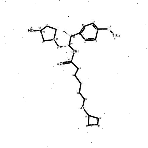 CCCCOc1ccc([C@@H](C)[C@@H](CN2CC[C@H](O)C2)NC(=O)CCCCCOC2CCC2)cc1